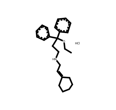 CCOC(CCNCC=C1CCCCC1)(c1ccccc1)c1ccccc1.Cl